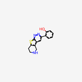 Oc1ccccc1-c1cc2c3c(sc2nn1)CCNC3